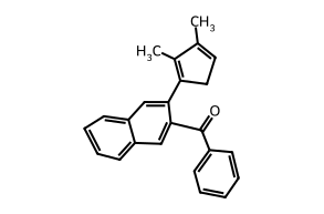 CC1=CCC(c2cc3ccccc3cc2C(=O)c2ccccc2)=C1C